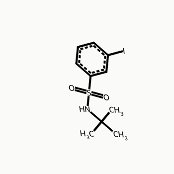 CC(C)(C)NS(=O)(=O)c1cccc(I)c1